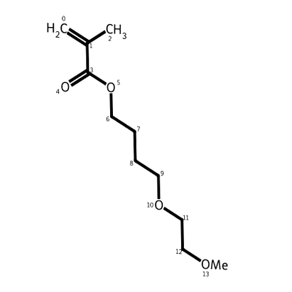 C=C(C)C(=O)OCCCCOCCOC